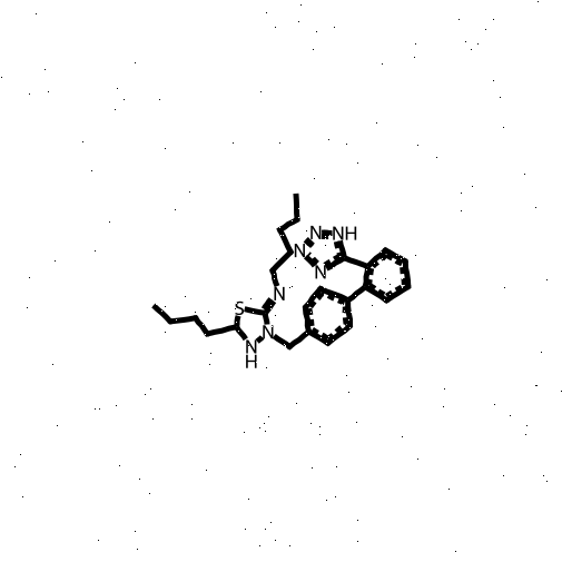 CCCCCN=C1SC(CCCC)NN1Cc1ccc(-c2ccccc2-c2nnn[nH]2)cc1